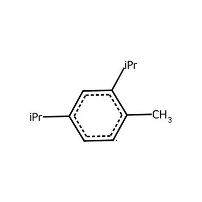 Cc1[c]cc(C(C)C)cc1C(C)C